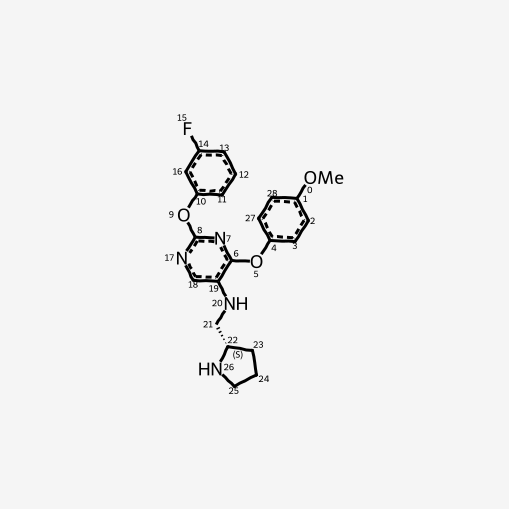 COc1ccc(Oc2nc(Oc3cccc(F)c3)ncc2NC[C@@H]2CCCN2)cc1